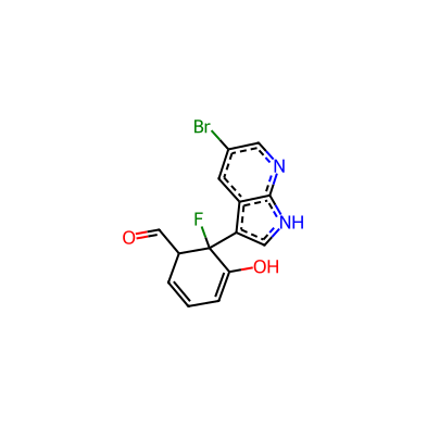 O=CC1C=CC=C(O)C1(F)c1c[nH]c2ncc(Br)cc12